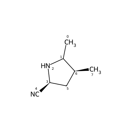 CC1N[C@H](C#N)C[C@@H]1C